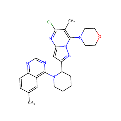 Cc1ccc2ncnc(N3CCCCC3c3cc4nc(Cl)c(C)c(N5CCOCC5)n4n3)c2c1